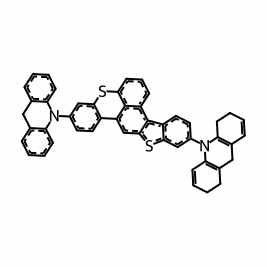 C1=CC2=C(CC1)CC1=C(CCC=C1)N2c1ccc2c(c1)sc1cc3c4c(cccc4c12)Sc1cc(N2c4ccccc4Cc4ccccc42)ccc1-3